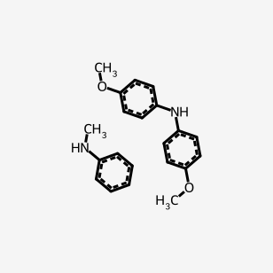 CNc1ccccc1.COc1ccc(Nc2ccc(OC)cc2)cc1